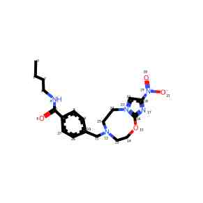 CCCCNC(=O)c1ccc(CN2CCOc3nc([N+](=O)[O-])cn3CC2)cc1